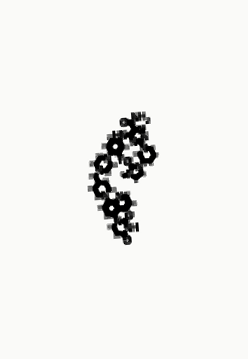 CN1CCN([C@@H]2CCCN(c3nnc(C(N)=O)c(Nc4ccc(N5CCN(CC6CCN(c7ccc(N8CCC(=O)NC8=O)c8cccnc78)CC6)CC5)c(F)c4)n3)C2)C1=O